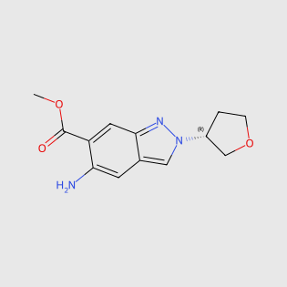 COC(=O)c1cc2nn([C@@H]3CCOC3)cc2cc1N